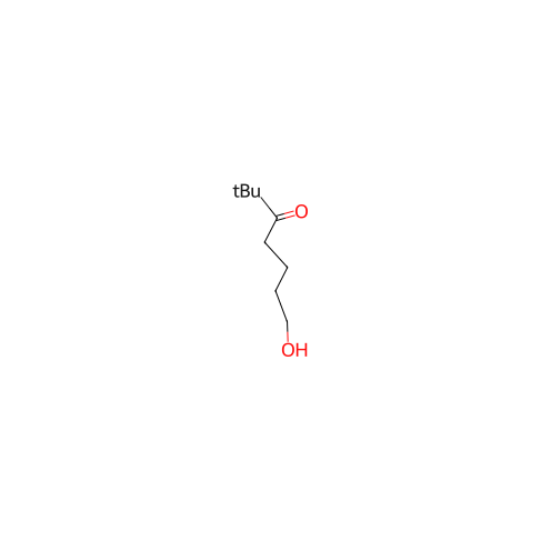 CC(C)(C)C(=O)CCCCO